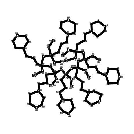 CCO[Si](CCCN1CCOCC1)(OCC)O[Si](CCCN1CCOCC1)(OCC)O[Si](CCCN1CCOCC1)(OCC)O[Si](CCCN1CCOCC1)(OCC)O[Si](CCCN1CCOCC1)(OCC)O[Si](CCCN1CCOCC1)(OCC)O[Si](CCCN1CCOCC1)(OCC)OCC